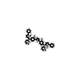 Cn1c(-c2ccccc2)ccc1N(c1cccnc1)c1ccc(-c2ccc(-c3ccc(N(c4cccnc4)c4ccc(-c5ccccc5)n4C)cc3F)s2)c(F)c1